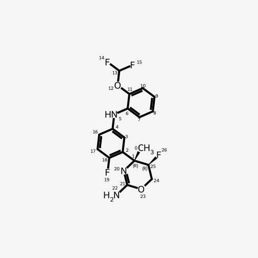 C[C@]1(c2cc(Nc3ccccc3OC(F)F)ccc2F)N=C(N)OC[C@@H]1F